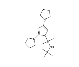 CC(C)(C)N[Si](C)(C)C1C=C(N2CCCC2)C=C1N1CCCC1